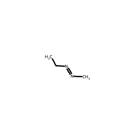 CC/N=N/C